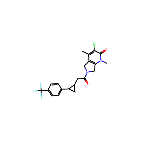 Cc1c2c(n(C)c(=O)c1Cl)CN(C(=O)CC1CC1c1ccc(C(F)(F)F)cc1)C2